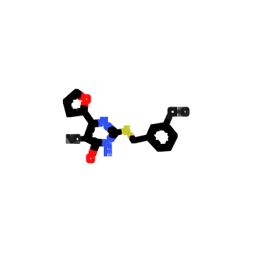 N#Cc1c(-c2ccco2)nc(SCc2cccc(C=O)c2)[nH]c1=O